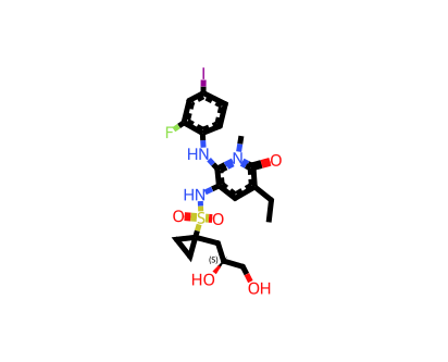 CCc1cc(NS(=O)(=O)C2(C[C@H](O)CO)CC2)c(Nc2ccc(I)cc2F)n(C)c1=O